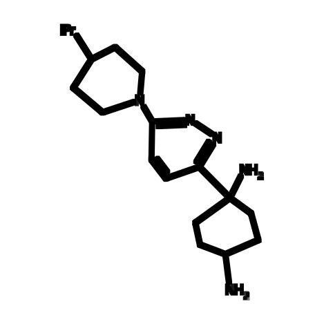 CC(C)C1CCN(c2ccc(C3(N)CCC(N)CC3)nn2)CC1